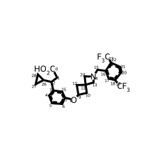 O=C(O)CC(c1cccc(OC2CC3(C2)CN(Cc2cc(C(F)(F)F)ccc2C(F)(F)F)C3)c1)C1CC1